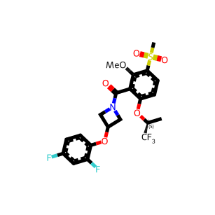 COc1c(S(C)(=O)=O)ccc(O[C@@H](C)C(F)(F)F)c1C(=O)N1CC(Oc2ccc(F)cc2F)C1